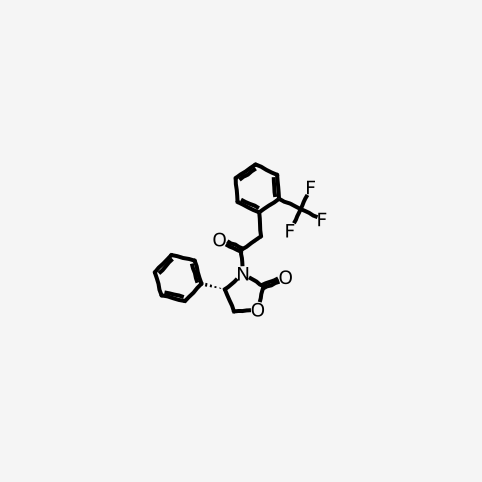 O=C(Cc1ccccc1C(F)(F)F)N1C(=O)OC[C@@H]1c1ccccc1